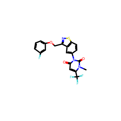 Cn1c(C(F)(F)F)cc(=O)n(-c2ccc3snc(COc4cccc(F)c4)c3c2)c1=O